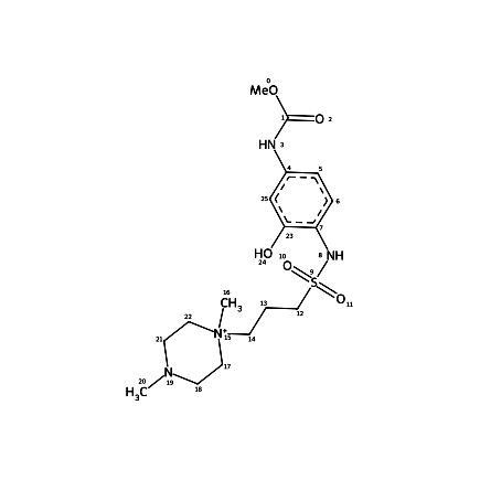 COC(=O)Nc1ccc(NS(=O)(=O)CCC[N+]2(C)CCN(C)CC2)c(O)c1